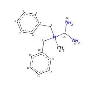 C[N+](Cc1ccccc1)(Cc1ccccc1)C(N)N